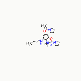 CCCCNc1cc(OC(C)N2CCCC2)cc(OC(C)N2CCCC2)c1N